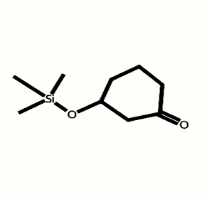 C[Si](C)(C)OC1CCCC(=O)C1